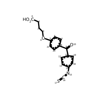 O=C(O)CCCOc1ccc(C(=O)c2ccc(N=C=S)cc2)cc1